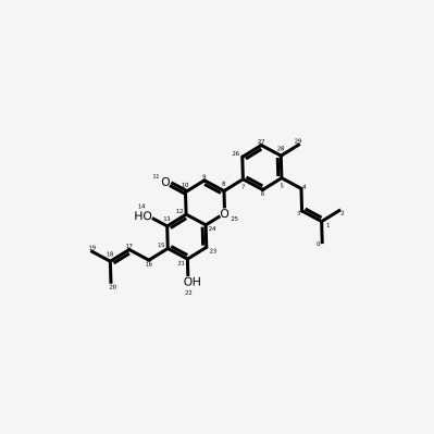 CC(C)=CCc1cc(-c2cc(=O)c3c(O)c(CC=C(C)C)c(O)cc3o2)ccc1C